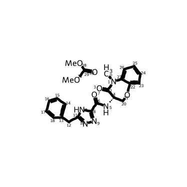 CN1C(=O)[C@@H](NC(=O)c2nnc(Cc3ccccc3)[nH]2)COc2ccccc21.COC(=O)OC